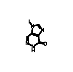 O=c1[nH]ncc2c1ncn2I